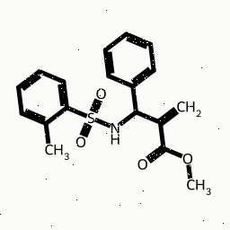 C=C(C(=O)OC)C(NS(=O)(=O)c1ccccc1C)c1ccccc1